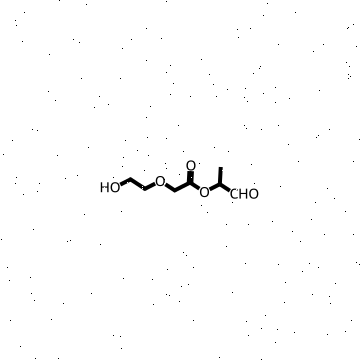 CC(C=O)OC(=O)COCCO